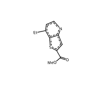 CCc1ccnc2cc(C(=O)OC)sc12